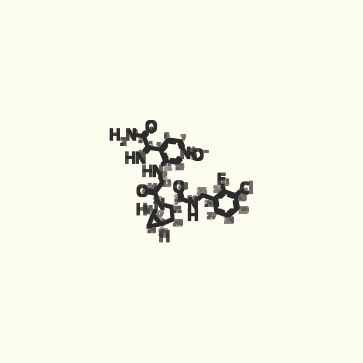 N=C(C(N)=O)c1cc[n+]([O-])cc1NCC(=O)N1[C@@H]2C[C@@H]2C[C@H]1C(=O)NCc1cccc(Cl)c1F